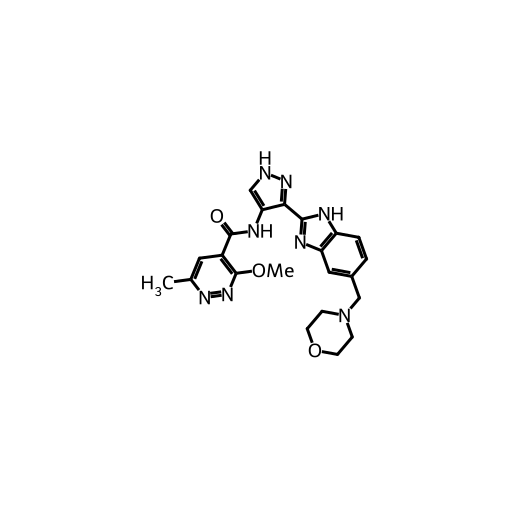 COc1nnc(C)cc1C(=O)Nc1c[nH]nc1-c1nc2cc(CN3CCOCC3)ccc2[nH]1